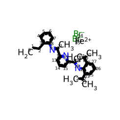 C=CCc1ccccc1/N=C(\C)c1cccc(/C(C)=N/c2c(C(C)C)cccc2C(C)C)n1.[Br-].[Br-].[Fe+2]